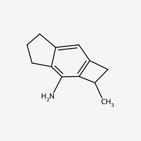 CC1Cc2cc3c(c(N)c21)CCC3